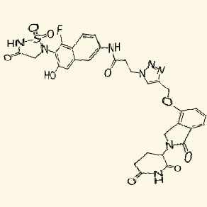 O=C1CCC(N2Cc3c(OCc4cn(CCC(=O)Nc5ccc6c(F)c(N7CC(=O)NS7(=O)=O)c(O)cc6c5)nn4)cccc3C2=O)C(=O)N1